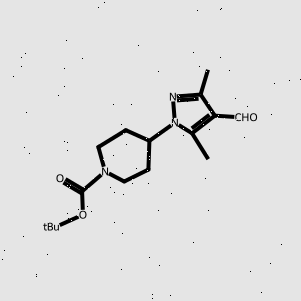 Cc1nn(C2CCN(C(=O)OC(C)(C)C)CC2)c(C)c1C=O